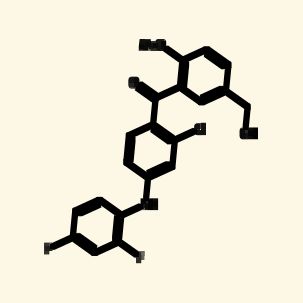 COc1ccc(CO)cc1C(=O)c1ccc(Nc2ccc(F)cc2F)cc1Cl